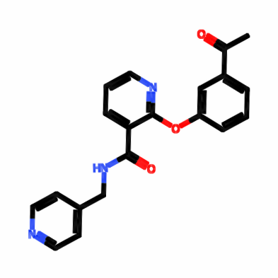 CC(=O)c1cccc(Oc2ncccc2C(=O)NCc2ccncc2)c1